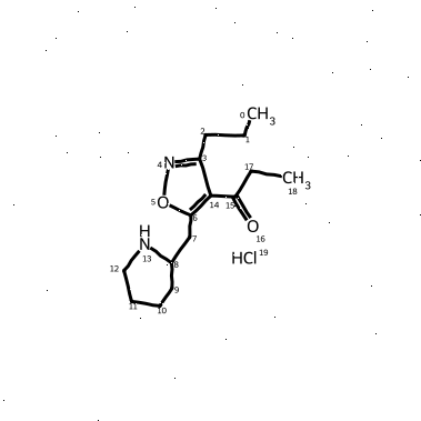 CCCc1noc(CC2CCCCN2)c1C(=O)CC.Cl